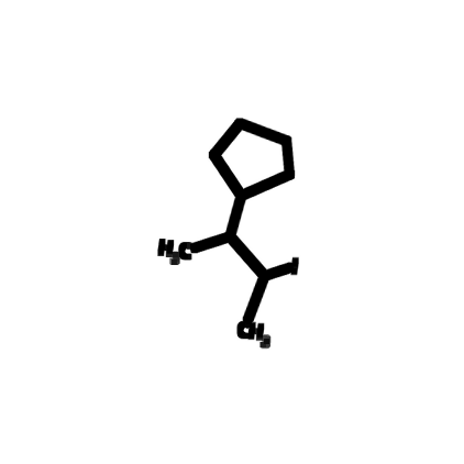 CC(I)C(C)C1CCCC1